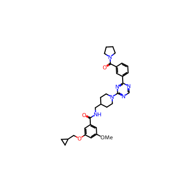 COc1cc(OCC2CC2)cc(C(=O)NCC2CCN(c3ncnc(-c4cccc(C(=O)N5CCCC5)c4)n3)CC2)c1